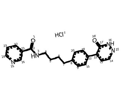 Cl.O=C(NCCCCc1ccc(-c2ccn[nH]c2=O)cc1)c1cccnc1